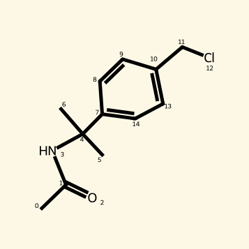 CC(=O)NC(C)(C)c1ccc(CCl)cc1